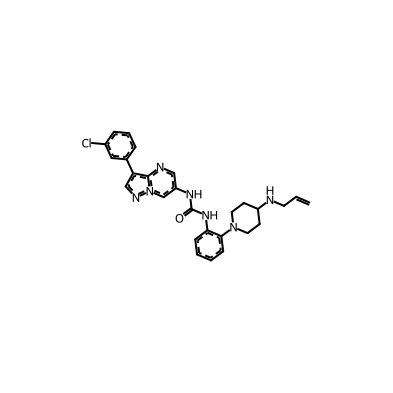 C=CCNC1CCN(c2ccccc2NC(=O)Nc2cnc3c(-c4cccc(Cl)c4)cnn3c2)CC1